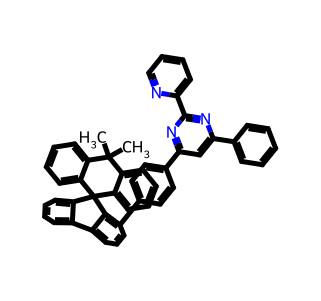 CC1(C)c2ccccc2C2(c3ccccc3-c3cccc(-c4ccc(-c5cc(-c6ccccc6)nc(-c6ccccn6)n5)cc4)c32)c2ccccc21